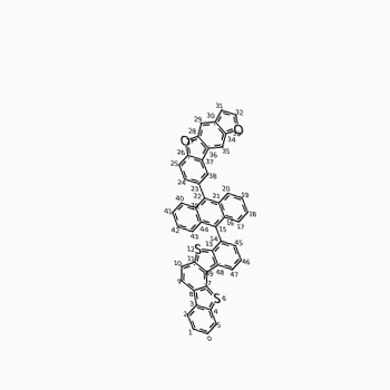 c1ccc2c(c1)sc1c2ccc2sc3c(-c4c5ccccc5c(-c5ccc6oc7cc8ccoc8cc7c6c5)c5ccccc45)cccc3c21